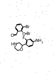 Nc1ccc(C2CNCCO2)c(F)c1.O=Cc1cccc(Br)c1OBr